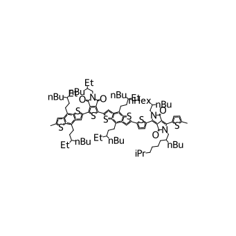 CCCCCCC(CCCC)CN1C(=O)C2=C(c3ccc(C)s3)N(CC(CCCC)CCCCC(C)C)C(=O)C2=C1c1ccc(-c2cc3c(CCC(CC)CCCC)c4sc(-c5sc(-c6cc7c(CCC(CC)CCCC)c8sc(C)cc8c(CCC(CC)CCCC)c7s6)c6c5C(=O)N(CC(CC)CCCC)C6=O)cc4c(CCC(CC)CCCC)c3s2)s1